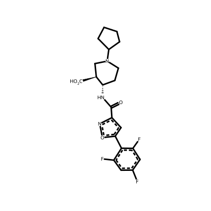 O=C(N[C@H]1CCN(C2CCCC2)C[C@@H]1C(=O)O)c1cc(-c2c(F)cc(F)cc2F)on1